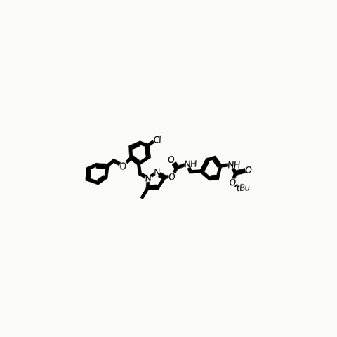 Cc1cc(OC(=O)NCc2ccc(NC(=O)OC(C)(C)C)cc2)nn1Cc1cc(Cl)ccc1OCc1ccccc1